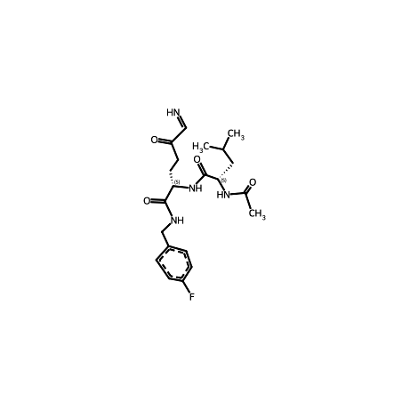 CC(=O)N[C@@H](CC(C)C)C(=O)N[C@@H](CCC(=O)C=N)C(=O)NCc1ccc(F)cc1